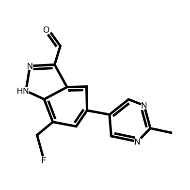 Cc1ncc(-c2cc(CF)c3[nH]nc(C=O)c3c2)cn1